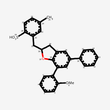 COc1ccccc1-c1cc(-c2ccccc2)cc2c1OC(Cc1cc(C)ccc1S(=O)(=O)O)C2